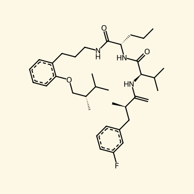 C=C(N[C@@H](C(=O)N[C@@H](CCC)C(=O)NCCCc1ccccc1OC[C@@H](C)C(C)C)C(C)C)[C@H](C)Cc1cccc(F)c1